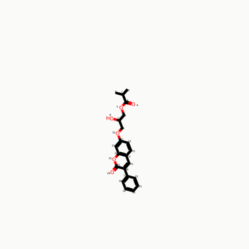 CC(C)C(=O)OCC(O)COc1ccc2cc(-c3ccccc3)c(=O)oc2c1